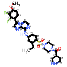 CCc1cc(Nc2nccn3c(-c4ccc(OC)c(F)c4F)cnc23)ccc1S(=O)(=O)N1CCN(C(=O)C2CCNCC2)CC1